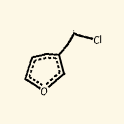 Cl[CH]c1ccoc1